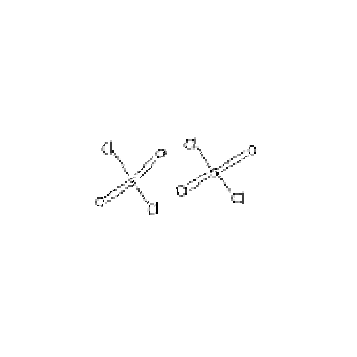 O=S(=O)(Cl)Cl.O=S(=O)(Cl)Cl